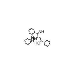 N=C(/C=C(\O)c1ccccc1)C(=N)c1ccccc1Nc1ccccc1